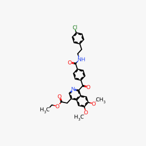 CCOC(=O)Cc1cnc(C(=O)c2ccc(C(=O)NCCc3ccc(Cl)cc3)cc2)c2cc(OC)c(OC)cc12